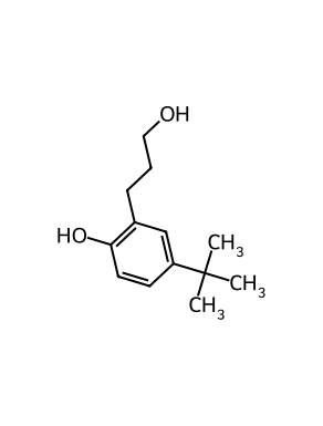 CC(C)(C)c1ccc(O)c(CCCO)c1